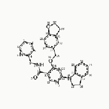 O=C(NCc1ccccn1)c1cnc(N2CCc3ccccc32)nc1OCc1ccc2c(c1)CCO2